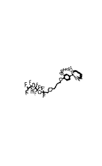 CCCCCCCOc1cc(-c2ncccn2)ccc1OCCCOCC(F)(F)OC(F)(F)C(F)(F)OC(F)(F)C(F)F